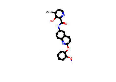 COc1ccnc(C(=O)Nc2ccc3nc(Oc4ccccc4OI)ccc3c2)c1O